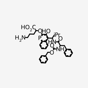 CC(C)C(NC(=O)C(Cc1ccccc1)NC(=O)OCc1ccccc1)c1c(O)c(OC(CCCN)C(=O)O)pc2ccccc12